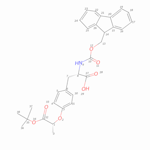 C[C@@H](Oc1ccc(C[C@H](NC(=O)OCC2c3ccccc3-c3ccccc32)C(=O)O)cc1)C(=O)OC(C)(C)C